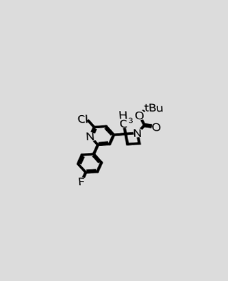 CC(C)(C)OC(=O)N1CCC1(C)c1cc(Cl)nc(-c2ccc(F)cc2)c1